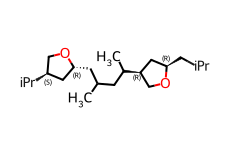 CC(C)C[C@@H]1C[C@H](C(C)CC(C)C[C@@H]2C[C@@H](C(C)C)CO2)CO1